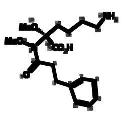 CON(C(=O)CCc1ccccc1)[C@](CCCCN)(OC)C(=O)O